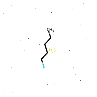 CCCCCF.S